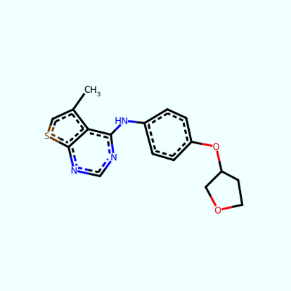 Cc1csc2ncnc(Nc3ccc(OC4CCOC4)cc3)c12